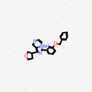 N[N+]12C=CN=CC1=C(C1CCOC1)N=C2c1cccc(OCc2ccccc2)c1